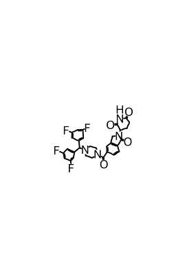 O=C1CCC(N2Cc3cc(C(=O)N4CCN(C(c5cc(F)cc(F)c5)c5cc(F)cc(F)c5)CC4)ccc3C2=O)C(=O)N1